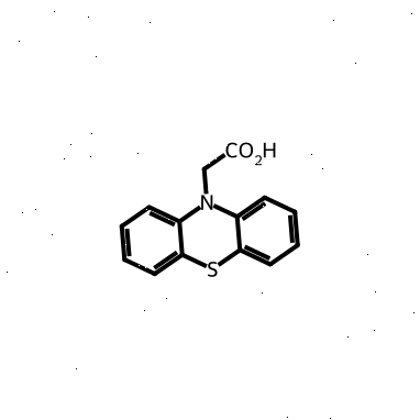 O=C(O)CN1c2ccccc2Sc2ccccc21